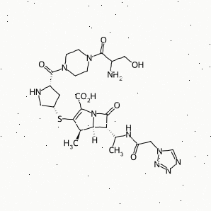 CC(NC(=O)Cn1cnnn1)[C@H]1C(=O)N2C(C(=O)O)=C(S[C@@H]3CN[C@H](C(=O)N4CCN(C(=O)C(N)CO)CC4)C3)[C@H](C)[C@H]12